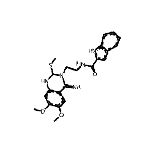 COc1cc2c(cc1OC)C(=N)N(CCNC(=O)c1cc3ccccc3[nH]1)C(SC)N2